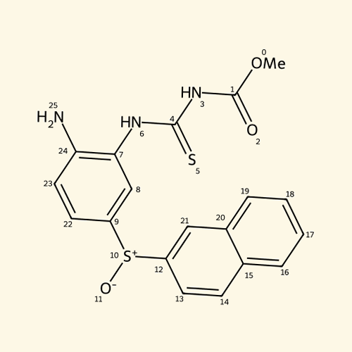 COC(=O)NC(=S)Nc1cc([S+]([O-])c2ccc3ccccc3c2)ccc1N